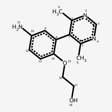 Cc1ncnc(C)c1-c1cc(N)ccc1OCCO